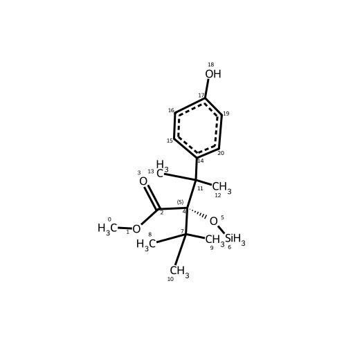 COC(=O)[C@](O[SiH3])(C(C)(C)C)C(C)(C)c1ccc(O)cc1